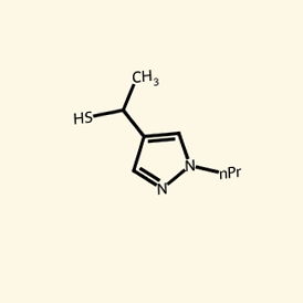 CCCn1cc(C(C)S)cn1